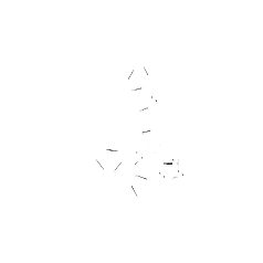 Cc1sc2c(c1C)C(c1ccc(Cl)cc1)=N[C@@H](CC(=O)CC(=O)Nc1ccc(C(C)C)cc1)c1nnc(C)n1-2